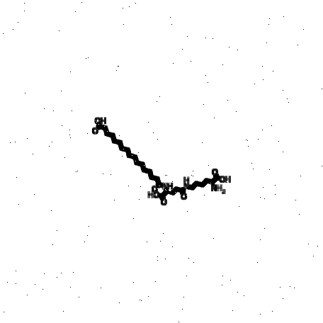 N[C@@H](CCCCNC(=O)CC[C@H](NC(=O)CCCCCCCCCCCCCCCC(=O)O)C(=O)O)C(=O)O